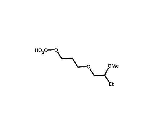 CCC(COCCCOC(=O)O)OC